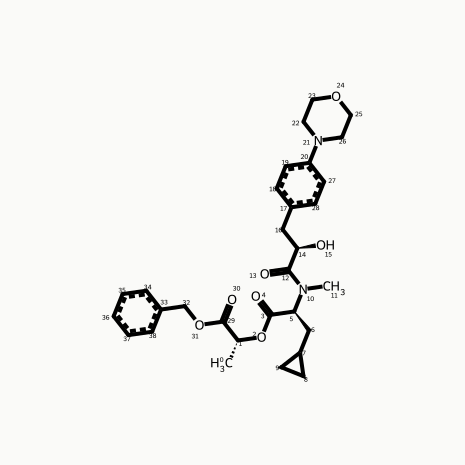 C[C@@H](OC(=O)[C@H](CC1CC1)N(C)C(=O)[C@H](O)Cc1ccc(N2CCOCC2)cc1)C(=O)OCc1ccccc1